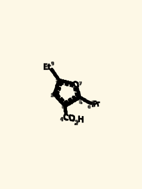 CCc1cc(C(=O)O)c(C(C)C)o1